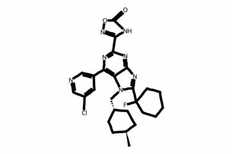 C[C@H]1CC[C@H](Cn2c(C3(F)CCCCC3)nc3nc(-c4noc(=O)[nH]4)nc(-c4cncc(Cl)c4)c32)CC1